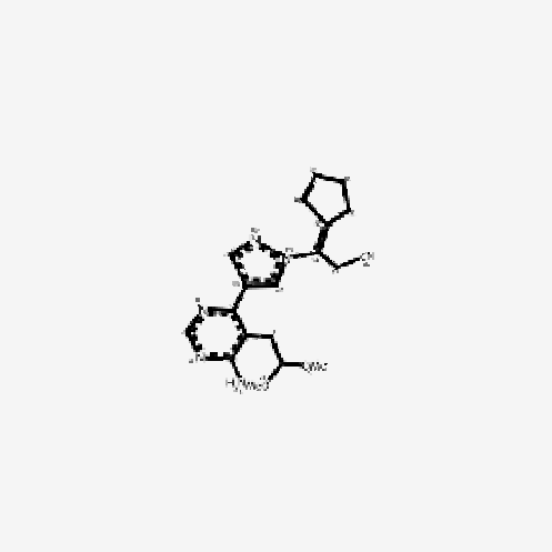 COC(Cc1c(N)ncnc1-c1cnn(C(CC#N)=C2CCCC2)c1)OC